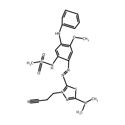 COc1cc(N=Nc2sc(N(C)C)n[n+]2CCC#N)c(NS(C)(=O)=O)cc1Nc1ccccc1